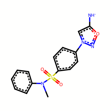 CN(c1ccccc1)S(=O)(=O)c1ccc(-[n+]2cc([NH-])on2)cc1